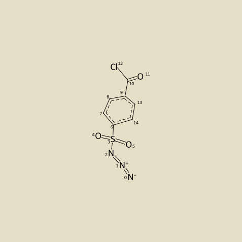 [N-]=[N+]=NS(=O)(=O)c1ccc(C(=O)Cl)cc1